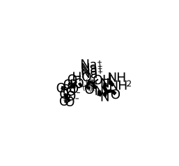 Nc1nc2c(ncn2[C@@H]2O[C@H](COP(=O)([O-])OP(=O)([O-])OP(=O)([O-])[O-])[C@@H](O)[C@H]2O)c(=O)[nH]1.[Na+].[Na+].[Na+].[Na+]